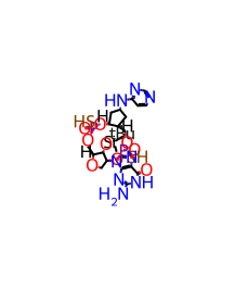 CC(C)(C)[Si](C)(C)OC1[C@H]2COP(=O)(S)O[C@H]3C[C@H](Nc4ccncn4)C[C@@H]3COP(=O)(S)O[C@]1(n1cnc3c(=O)[nH]c(N)nc31)CO2